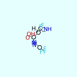 CC1(c2ccc(-c3cc(C(=O)O)cc(-n4cc(-c5ccc(C(F)(F)F)cc5)nn4)c3)cc2)CCNCC1(F)F